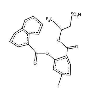 O=C(OC(CS(=O)(=O)O)C(F)(F)F)c1ccc(I)cc1OC(=O)c1cccc2ccccc12